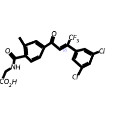 Cc1cc(C(=O)/C=C(/c2cc(Cl)cc(Cl)c2)C(F)(F)F)ccc1C(=O)NCC(=O)O